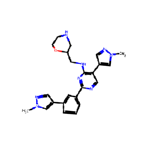 Cn1cc(-c2cccc(-c3ncc(-c4cnn(C)c4)c(NCC4CNCCO4)n3)c2)cn1